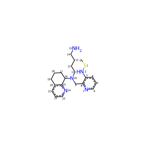 CSNc1cccnc1CN(CCCCN)C1CCCc2cccnc21